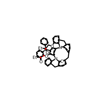 CCC(=O)COc1cccc2c1N1c3cc(B(c4ccccc4)c4ccccc4)c(OCC(=O)CC)c(c3)N3c4ccccc4Cc4ccc(cc43)Cc3ccc(c1c3)C2